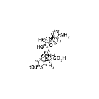 C[C@@H](NP(=O)(OC[C@H]1O[C@@](C#N)(c2ccc3c(N)ncnn23)[C@H](O)[C@@H]1O)Oc1ccc(C(C)(C)C)cc1)C(=O)O